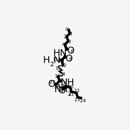 CCCCCC(=O)NC(=O)[C@@H](N)CSSCC(NC(=O)CCCCC)C(N)=O